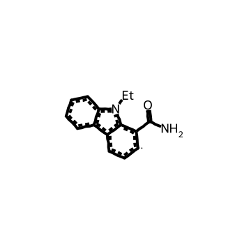 CCn1c2ccccc2c2cc[c]c(C(N)=O)c21